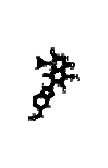 Cc1c(-c2cc3c(s2)CCC(CO)C3)c(F)c(N)c2c(=O)[nH]c(=O)n(C3CC3)c12